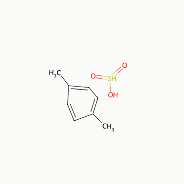 Cc1ccc(C)cc1.O=[SH](=O)O